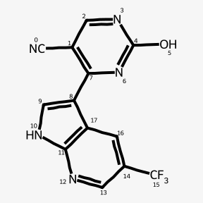 N#Cc1cnc(O)nc1-c1c[nH]c2ncc(C(F)(F)F)cc12